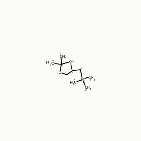 CC1(C)OCC(C[N+](C)(C)C)O1